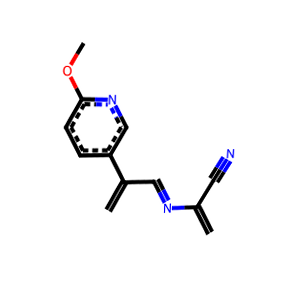 C=C(C#N)/N=C/C(=C)c1ccc(OC)nc1